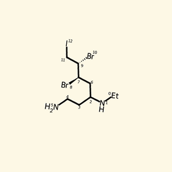 CCNC(CCN)C[C@@H](Br)[C@@H](Br)CI